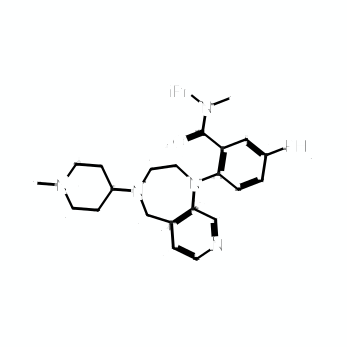 CC(C)N(C)C(=O)c1cc(P)ccc1N1CCN(C2CCN(C)CC2)Cc2ccncc21